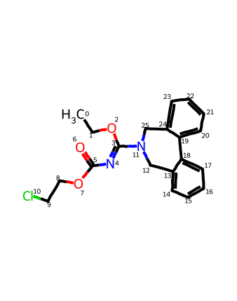 CCO/C(=N\C(=O)OCCCl)N1Cc2ccccc2-c2ccccc2C1